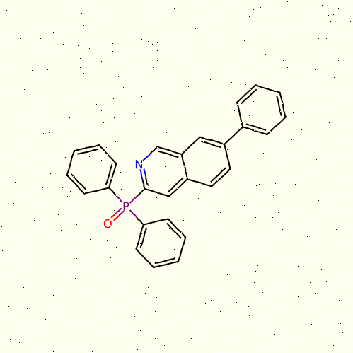 O=P(c1ccccc1)(c1ccccc1)c1cc2ccc(-c3ccccc3)cc2cn1